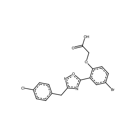 O=C(O)COc1ccc(Br)cc1-c1nc(Cc2ccc(Cl)cc2)no1